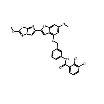 COc1cc(OCc2cccc(NC(=O)c3cccc(Cl)c3Cl)c2)c2cc(-c3cn4nc(OC)sc4n3)oc2c1